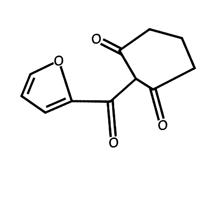 O=C1CCCC(=O)C1C(=O)c1ccco1